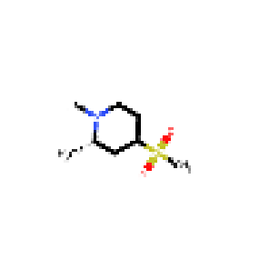 CCN1CCC(S(C)(=O)=O)C[C@@H]1C